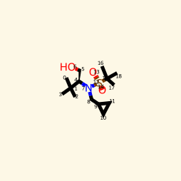 CC(C)(C)[C@@H](CO)N(CC1CC1)S(=O)(=O)C(C)(C)C